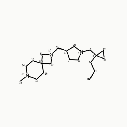 CCCC1(CN2CC[C@@H](CN3CC4(CCN(C)CC4)C3)C2)CC1